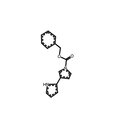 O=C(OCc1ccccc1)n1ccc(-c2ccc[nH]2)c1